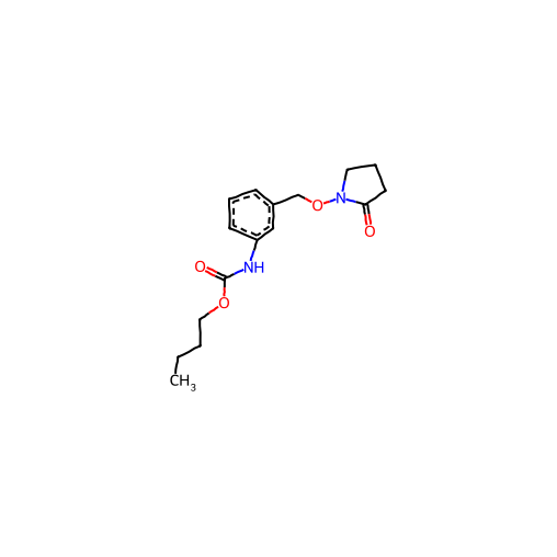 CCCCOC(=O)Nc1cccc(CON2CCCC2=O)c1